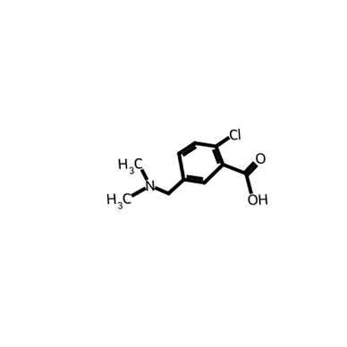 CN(C)Cc1ccc(Cl)c(C(=O)O)c1